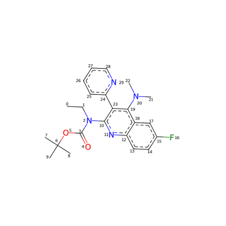 CCN(C(=O)OC(C)(C)C)c1nc2ccc(F)cc2c(N(C)C)c1-c1ccccn1